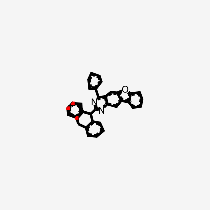 c1ccc(-c2nc(C34c5ccccc5C(c5ccccc53)c3ccccc34)nc3cc4c(cc23)oc2ccccc24)cc1